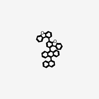 c1ccc2c(-c3c4ccccc4c(-c4ccc(-c5cccc6oc7ccccc7c56)c5oc6ccccc6c45)c4ccccc34)cccc2c1